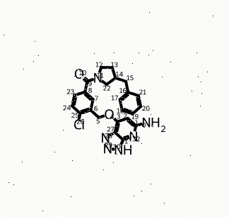 Nc1cc(OCc2cc(C(=O)N3CCC(Cc4ccccc4)C3)ccc2Cl)c2nn[nH]c2n1